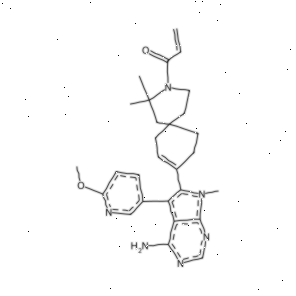 C=CC(=O)N1CCC2(CC=C(c3c(-c4ccc(OC)nc4)c4c(N)ncnc4n3C)CC2)CC1(C)C